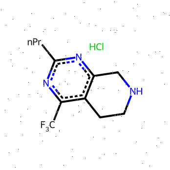 CCCc1nc2c(c(C(F)(F)F)n1)CCNC2.Cl